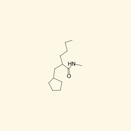 CCCCC(CC1CCCC1)C(=O)NC